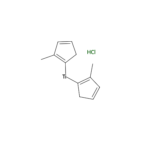 CC1=[C]([Ti][C]2=C(C)C=CC2)CC=C1.Cl